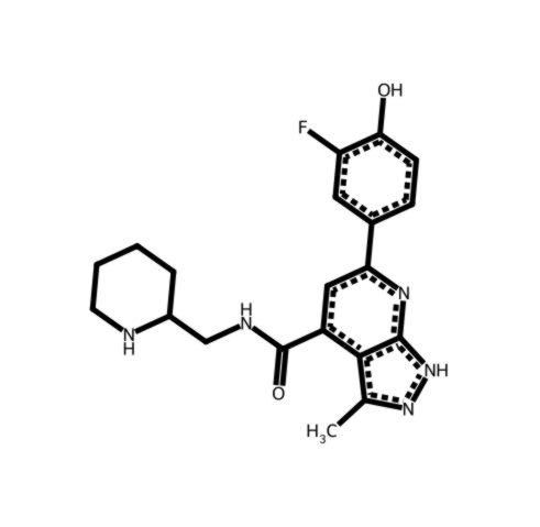 Cc1n[nH]c2nc(-c3ccc(O)c(F)c3)cc(C(=O)NCC3CCCCN3)c12